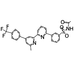 CC(=O)NS(=O)(=O)c1cccc(-c2cccc(-c3cc(-c4ccc(C(F)(F)F)cc4)cc(C)n3)n2)c1